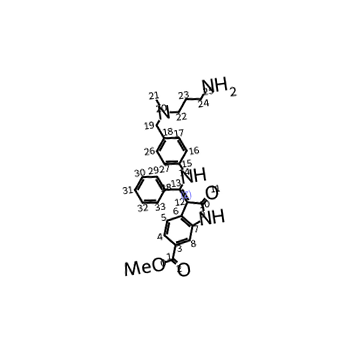 COC(=O)c1ccc2c(c1)NC(=O)/C2=C(\Nc1ccc(CN(C)CCCN)cc1)c1ccccc1